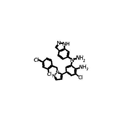 Nc1c(Cl)cc(-c2ccnn2Cc2ccc(Cl)cc2Cl)cc1N(N)c1ccc2cn[nH]c2c1